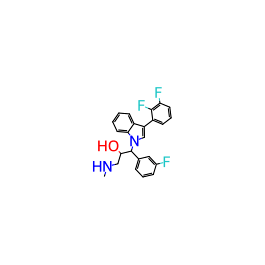 CNCC(O)C(c1cccc(F)c1)n1cc(-c2cccc(F)c2F)c2ccccc21